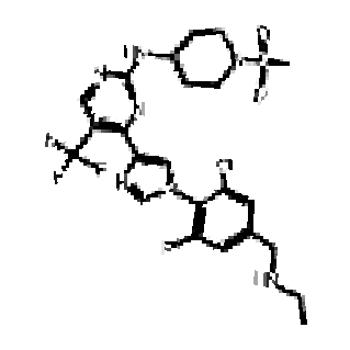 CCNCc1cc(F)c(-n2cnc(-c3nc(NC4CCN(S(C)(=O)=O)CC4)ncc3C(F)(F)F)c2)c(Cl)c1